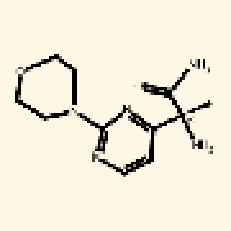 C[C@](N)(C(N)=O)c1ccnc(N2CCOCC2)n1